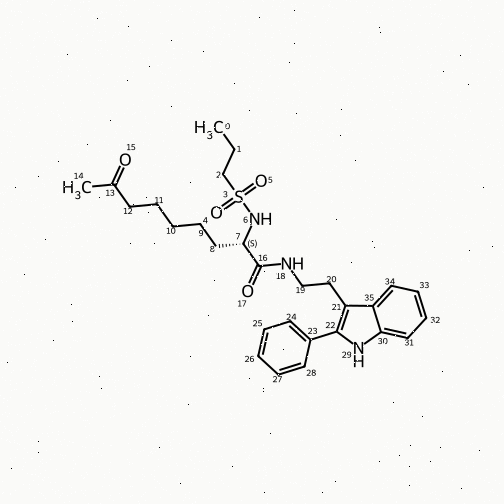 CCCS(=O)(=O)N[C@@H](CCCCCC(C)=O)C(=O)NCCc1c(-c2ccccc2)[nH]c2ccccc12